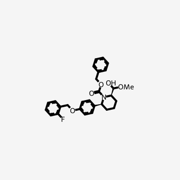 COC(O)[C@H]1CCC[C@@H](c2ccc(OCc3ccccc3F)cc2)N1C(=O)OCc1ccccc1